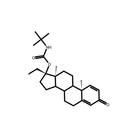 CC[C@]1(OC(=O)NC(C)(C)C)CCC2C3CCC4=CC(=O)C=C[C@]4(C)C3CC[C@@]21C